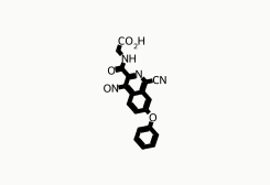 N#Cc1nc(C(=O)NCC(=O)O)c(N=O)c2ccc(Oc3ccccc3)cc12